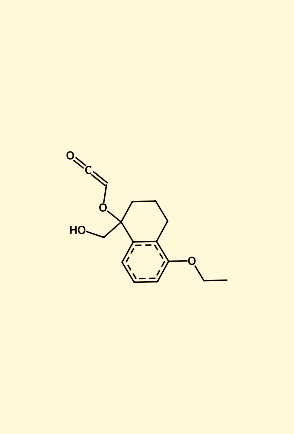 CCOc1cccc2c1CCCC2(CO)OC=C=O